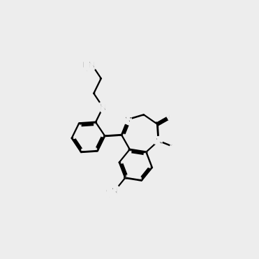 CN1C(=O)CN=C(c2ccccc2NCCN)c2cc([N+](=O)[O-])ccc21